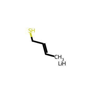 CC=CCS.[LiH]